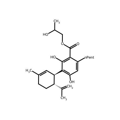 C=C(C)[C@@H]1CCC(C)=C[C@H]1c1c(O)cc(CCCCC)c(C(=O)OCC(C)O)c1O